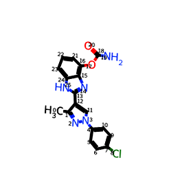 Cc1nn(-c2ccc(Cl)cc2)cc1-c1nc2c(OC(N)=O)cccc2[nH]1